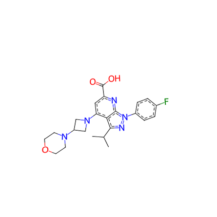 CC(C)c1nn(-c2ccc(F)cc2)c2nc(C(=O)O)cc(N3CC(N4CCOCC4)C3)c12